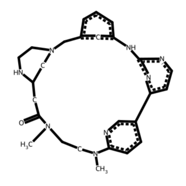 CN1CCN(C)c2ccc(cn2)-c2ccnc(n2)Nc2cccc(c2)CN2CCNC(CC1=O)C2